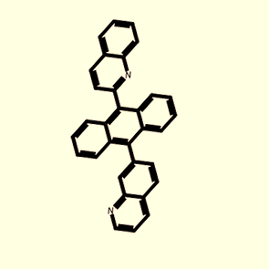 c1cnc2cc(-c3c4ccccc4c(-c4ccc5ccccc5n4)c4ccccc34)ccc2c1